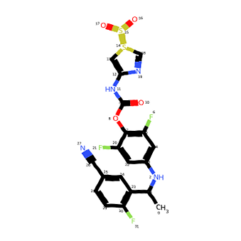 CC(Nc1cc(F)c(OC(=O)NC2=CS(=S(=O)=O)C=N2)c(F)c1)c1cc(C#N)ccc1F